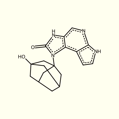 O=c1[nH]c2cnc3[nH]ccc3c2n1C12CC3CC(CC(O)(C3)C1)C2